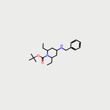 CCC1CC(NCc2ccccc2)CC(CC)N1C(=O)OC(C)(C)C